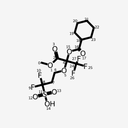 COC(=O)C(OCCC(F)(F)S(=O)(=O)O)(OC(=O)C1CCCCC1)C(F)(F)F